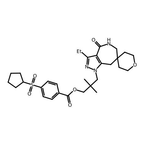 CCc1nn(CC(C)(C)COC(=O)c2ccc(S(=O)(=O)C3CCCC3)cc2)c2c1C(=O)NCC1(CCOCC1)C2